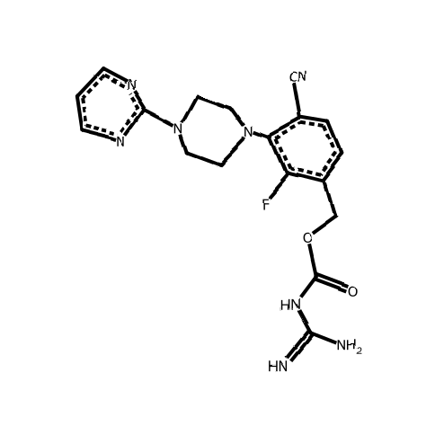 N#Cc1ccc(COC(=O)NC(=N)N)c(F)c1N1CCN(c2ncccn2)CC1